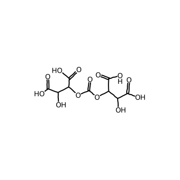 O=C(OC(C(=O)O)C(O)C(=O)O)OC(C(=O)O)C(O)C(=O)O